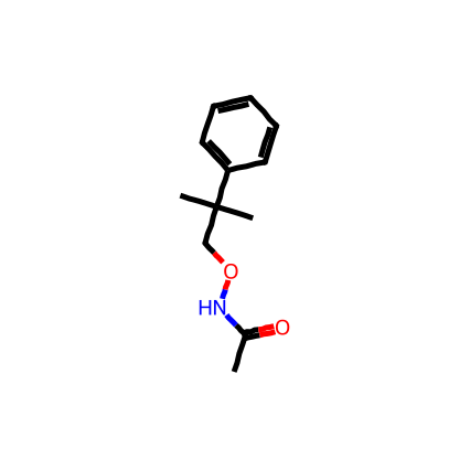 CC(=O)NOCC(C)(C)c1ccccc1